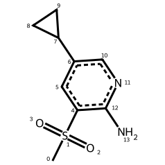 CS(=O)(=O)c1cc(C2CC2)cnc1N